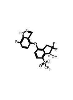 O=S(=O)(c1ccc(Oc2ccc(F)c3[nH]ncc23)c2c1[C@H](O)C(F)(F)C2)C(F)(F)F